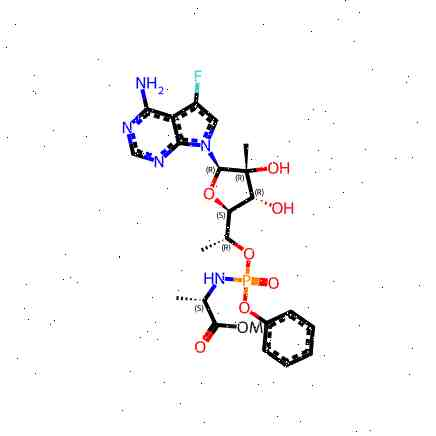 COC(=O)[C@H](C)NP(=O)(Oc1ccccc1)O[C@H](C)[C@H]1O[C@@H](n2cc(F)c3c(N)ncnc32)[C@](C)(O)[C@@H]1O